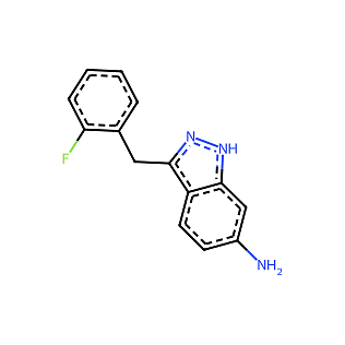 Nc1ccc2c(Cc3ccccc3F)n[nH]c2c1